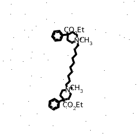 CCOC(=O)C1(c2ccccc2)CC[N+](C)(CCCCCCCCCC[N+]2(C)CCC(C(=O)OCC)(c3ccccc3)CC2)CC1